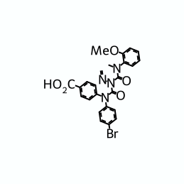 C=NN(C(=O)N(C)c1ccccc1OC)C(=O)N(c1ccc(Br)cc1)c1ccc(C(=O)O)cc1